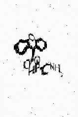 CCC(CN)POC(=O)C1c2ccccc2Oc2ccccc21